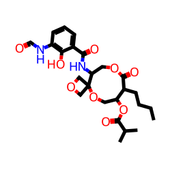 CCCCC1C(=O)OCC(NC(=O)c2cccc(NC=O)c2O)C2(COC2)OCC1OC(=O)C(C)C